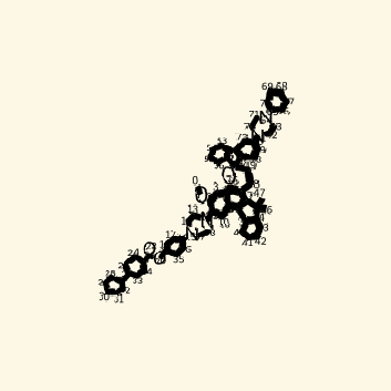 COc1cc2c3c(c4c(c2cc1N1CCN(c2ccc(OC(=O)c5ccc(-c6ccccc6)cc5)cc2)CC1)-c1ccccc1C4(C)C)C=CC(c1ccccc1)(c1ccc(N2CCN(c4ccccc4)CC2)cc1)O3